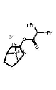 CCCC(CCC)C(=O)OC1CC2CCC(C1)[N+]2(C)C(C)C.[Br-]